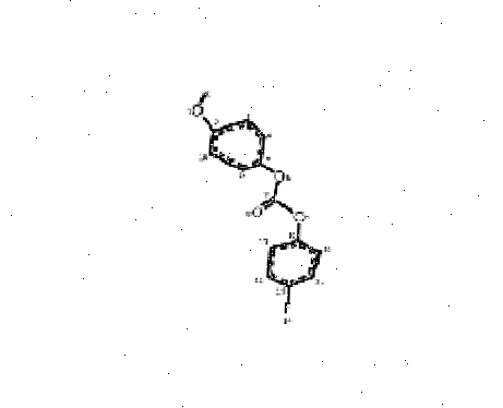 COc1ccc(OC(=O)Oc2ccc(F)cc2)cc1